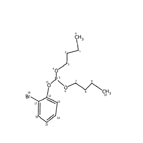 CCCCOP(OCCCC)Oc1ccccc1Br